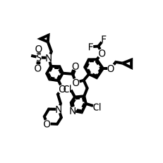 CS(=O)(=O)N(CC1CC1)c1ccc(OCCN2CCOCC2)c(C(=O)OC(Cc2c(Cl)cncc2Cl)c2ccc(OC(F)F)c(OCC3CC3)c2)c1